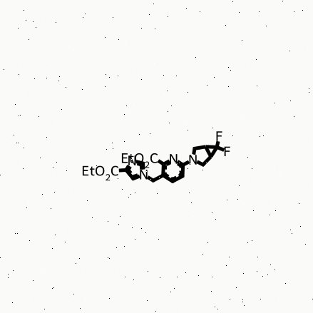 CCOC(=O)c1cn(Cc2ccc(N3CC4C(C3)C4(F)F)nc2C(=O)OCC)cn1